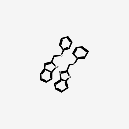 c1ccc(OCc2cc3ccccc3[nH]2)cc1.c1ccc(OCc2nc3ccccc3o2)cc1